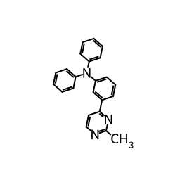 Cc1nccc(-c2cccc(N(c3ccccc3)c3ccccc3)c2)n1